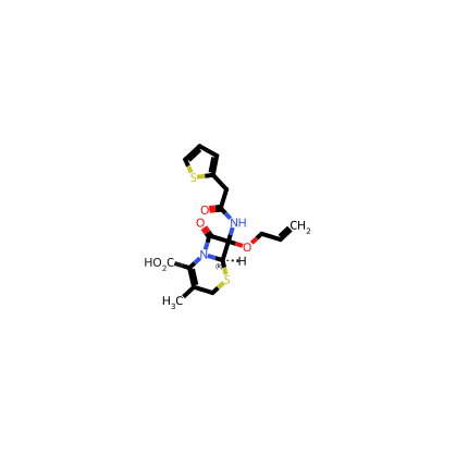 C=CCOC1(NC(=O)Cc2cccs2)C(=O)N2C(C(=O)O)=C(C)CS[C@@H]21